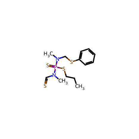 CCCSP(=S)(N(C)C=S)N(C)CSc1ccccc1